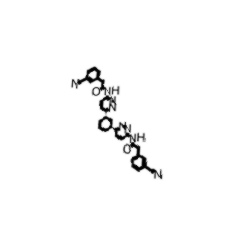 N#Cc1cccc(CC(=O)Nc2ccc([C@H]3CCC[C@H](c4ccc(NC(=O)Cc5cccc(C#N)c5)nn4)C3)nn2)c1